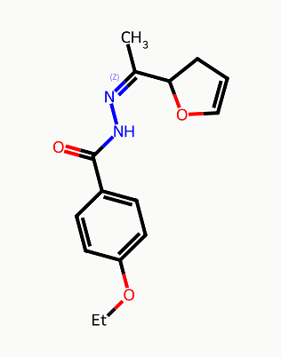 CCOc1ccc(C(=O)N/N=C(/C)C2CC=CO2)cc1